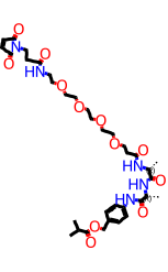 CC(C)C(=O)OCc1ccc(NC(=O)[C@@H](C)NC(=O)[C@@H](C)NC(=O)CCOCCOCCOCCOCCNC(=O)CCN2C(=O)C=CC2=O)cc1